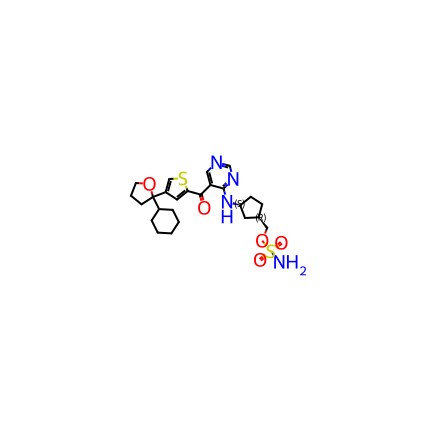 NS(=O)(=O)OC[C@@H]1CC[C@H](Nc2ncncc2C(=O)c2cc(C3(C4CCCCC4)CCCO3)cs2)C1